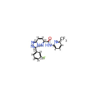 O=C(Nc1cccc(C(F)(F)F)n1)c1ccc2nnc(-c3cccc(F)c3)n2n1